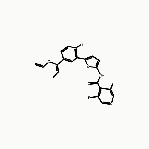 C=CO/C(=C\C)c1ccc(Cl)c(-c2ccc(NC(=O)c3c(F)cncc3F)s2)c1